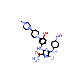 COc1ccc(Nc2nc(N[C@H]3CC[C@H](N=O)CC3)c(Cl)nc2C(N)=O)cc1N1CCC(N2CCN(C)CC2)CC1